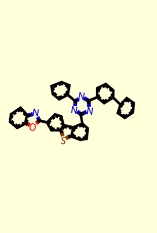 c1ccc(-c2cccc(-c3nc(-c4ccccc4)nc(-c4cccc5sc6cc(-c7nc8ccccc8o7)ccc6c45)n3)c2)cc1